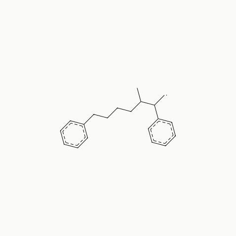 [CH2]C(c1ccccc1)C(C)CCCCc1ccccc1